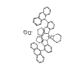 C1=C(C2CCCC2)[CH]([Ti+2]2([CH]3C(C4CCCC4)=Cc4c(-c5c6ccccc6cc6ccccc56)cccc43)[CH]3CCCC[CH]32)c2cccc(-c3c4ccccc4cc4ccccc34)c21.[Cl-].[Cl-]